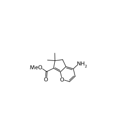 COC(=O)C1=C2OC=CC(N)=C2CC1(C)C